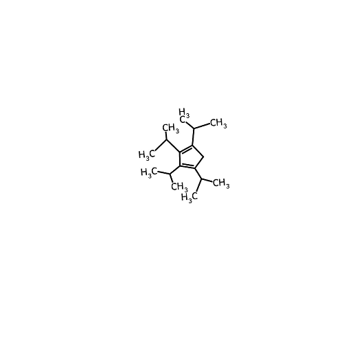 CC(C)C1=C(C(C)C)C(C(C)C)=C(C(C)C)C1